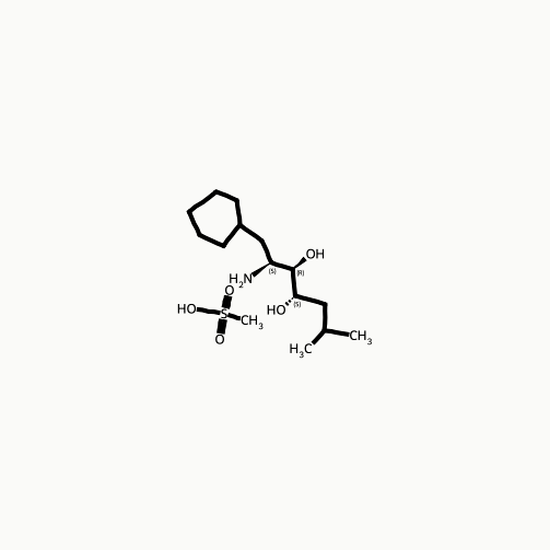 CC(C)C[C@H](O)[C@H](O)[C@@H](N)CC1CCCCC1.CS(=O)(=O)O